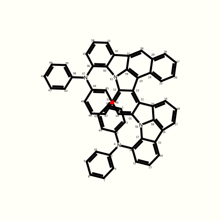 c1ccc(N(c2ccccc2)c2cccc3c4cccc5c6c7c8c9ccccc9cc9c%10cccc(N(c%11ccccc%11)c%11ccccc%11)c%10n(c7ccc6n(c23)c45)c98)cc1